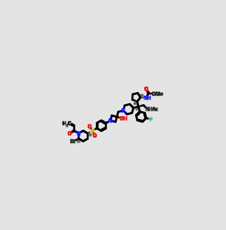 C=CC(=O)N1C[C@H](S(=O)(=O)c2ccc(N3CC(O)(CN4CCC([C@@](CNC(C)=O)(c5cccc(F)c5)[C@H]5CCC[C@@H]5NC(=O)OC)CC4)C3)cc2)CC[C@H]1CC